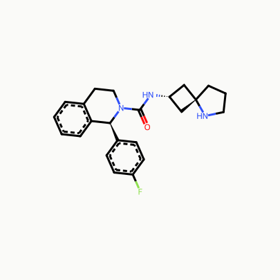 O=C(N[C@H]1C[C@]2(CCCN2)C1)N1CCc2ccccc2[C@@H]1c1ccc(F)cc1